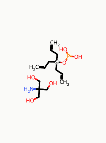 C=CC[Si](CC=C)(CC=C)OP(O)O.NC(CO)(CO)CO